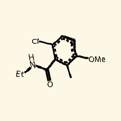 CCNC(=O)c1c(Cl)ccc(OC)c1C